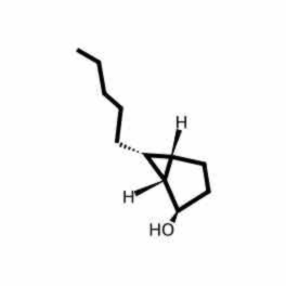 CCCCC[C@@H]1[C@@H]2CC[C@@H](O)[C@H]12